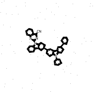 N#Cc1nc(-n2c3ccccc3c3cc(-c4ccc5c(c4)c4cc(-c6ccccc6)ccc4n5-c4ccccc4)ccc32)nc2ccccc12